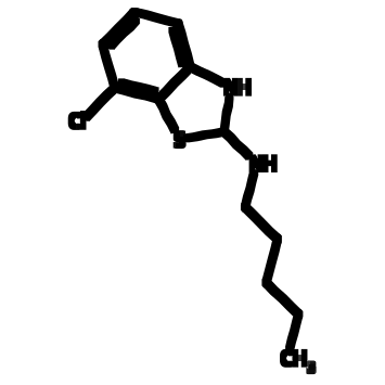 CCCCCNC1Nc2cccc(Cl)c2S1